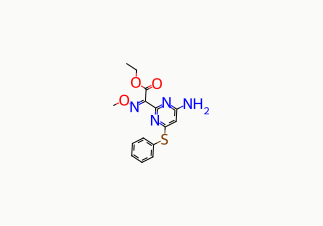 CCOC(=O)C(=NOC)c1nc(N)cc(Sc2ccccc2)n1